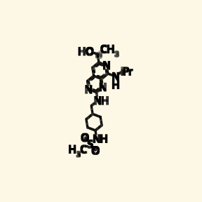 CC(C)Nc1nc([C@@H](C)O)cc2cnc(NCC3CCC(NS(C)(=O)=O)CC3)nc12